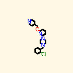 Clc1ccccc1CN1CCN(c2cccc(OCc3ccncc3)n2)CC1